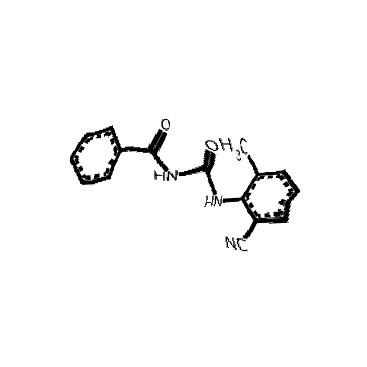 Cc1cccc(C#N)c1NC(=O)NC(=O)c1ccccc1